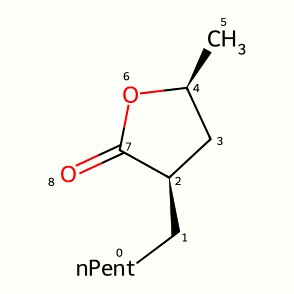 CCCCCC[C@@H]1C[C@H](C)OC1=O